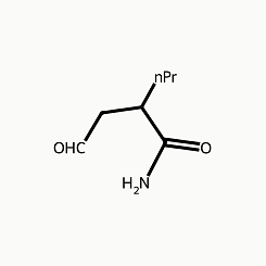 CCCC(CC=O)C(N)=O